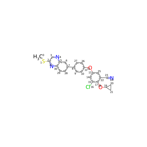 CSc1cnc2cc(-c3ccc(Oc4cc(Cl)c(OC5CC5)c(C#N)c4)cc3)ccc2n1